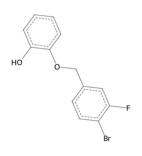 Oc1ccccc1OCc1ccc(Br)c(F)c1